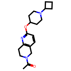 CC(=O)N1CCc2nc(OC3CCN(C4CCC4)CC3)ccc2C1